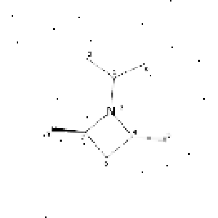 CC(C)N1[C@H](C)C[C@H]1C